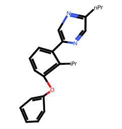 CCCc1cnc(-c2cccc(Oc3ccccc3)c2C(C)C)cn1